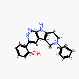 Oc1ccccc1-c1cc2c3c([nH]c2nn1)CCN(c1ccccc1)C3